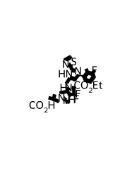 CCOC(=O)C1=C(CN2CC(F)(F)[C@H]3[C@@H]2CN(CC(C)(C)C(=O)O)N3C)NC(c2nccs2)=N[C@H]1c1cccc(F)c1C